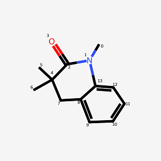 CN1C(=O)C(C)(C)Cc2ccccc21